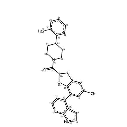 O=C([C@H]1Cc2cc(Cl)cc(-c3ccnc4[nH]ccc34)c2O1)N1CCC(c2ccccc2O)CC1